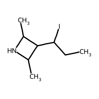 CCC(I)C1C(C)NC1C